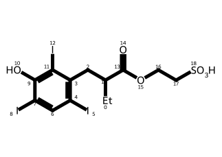 CCC(Cc1c(I)cc(I)c(O)c1I)C(=O)OCCS(=O)(=O)O